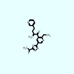 C=C(CCc1cccnc1)C(=O)c1cc(-c2nnc(C(C)F)o2)cnc1CC